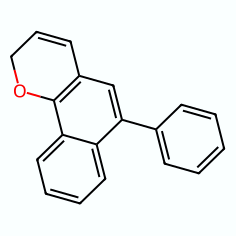 C1=Cc2cc(-c3ccccc3)c3ccccc3c2OC1